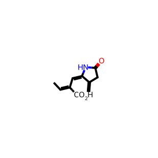 C=C1CC(=O)N/C1=C/C(=C\C)C(=O)O